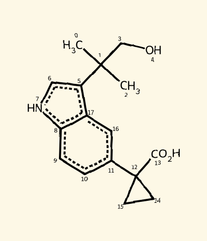 CC(C)(CO)c1c[nH]c2ccc(C3(C(=O)O)CC3)cc12